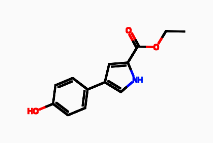 CCOC(=O)c1cc(-c2ccc(O)cc2)c[nH]1